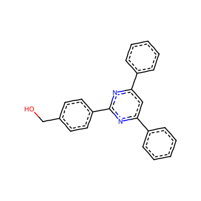 OCc1ccc(-c2nc(-c3ccccc3)cc(-c3ccccc3)n2)cc1